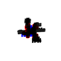 COc1c(CC(NC(=O)C(NS(=O)(=O)NC(=O)OC(C)(C)C)c2csc(NC(=O)OCc3ccccc3)n2)B2OC3C[C@H]4C[C@@H](C4(C)C)[C@]3(C)O2)cccc1C(=O)OC(C)(C)C